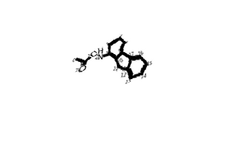 CC(=O)ONc1cccc2c1Cc1ccccc1-2